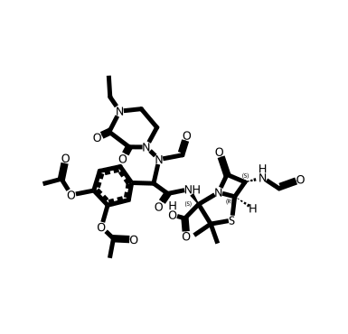 CCN1CCN(N(C=O)C(C(=O)N[C@@]2(C(=O)O)N3C(=O)[C@H](NC=O)[C@H]3SC2(C)C)c2ccc(OC(C)=O)c(OC(C)=O)c2)C(=O)C1=O